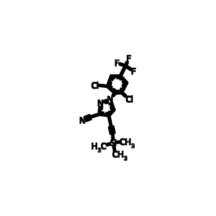 C[Si](C)(C)C#Cc1cn(-c2c(Cl)cc(C(F)(F)F)cc2Cl)nc1C#N